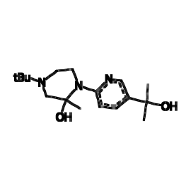 CC(C)(O)c1ccc(N2CCN(C(C)(C)C)CC2(C)O)nc1